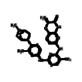 C=C1Oc2ccc(Nc3nc(Nc4cnc(N5CC6CC5CN6C)c(C)c4)ncc3C)nc2NC1=O